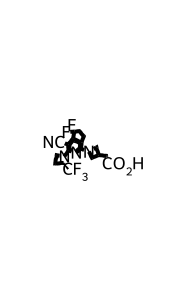 N#Cc1c(N2CC[C@@H]2C(F)(F)F)nc(N2CC(CC(=O)O)C2)c2c1C(F)(F)CC2